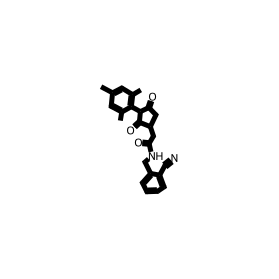 Cc1cc(C)c(C2C(=O)CC(CC(=O)NCc3ccccc3C#N)C2=O)c(C)c1